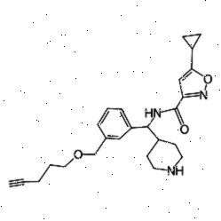 C#CCCCOCc1cccc(C(NC(=O)c2cc(C3CC3)on2)C2CCNCC2)c1